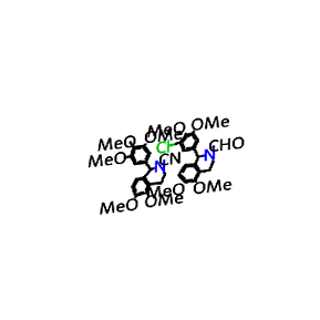 COc1cc(C2c3ccc(OC)c(OC)c3CCN2C#N)cc(OC)c1OC.COc1cc(C2c3ccc(OC)c(OC)c3CCN2C=O)cc(Cl)c1OC